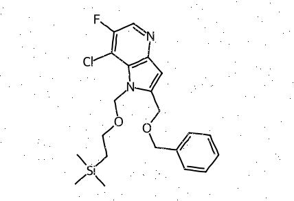 C[Si](C)(C)CCOCn1c(COCc2ccccc2)cc2ncc(F)c(Cl)c21